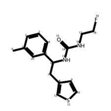 Cc1cccc(C(Cc2ccsc2)NC(=O)NCCF)c1